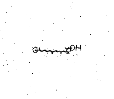 CC1=CC(O)CC(C)(C)C1C=C/C(C)=C/C=C/C(C)=C/C=C/C=C(\C)C=O